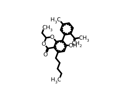 C=C(C)c1ccc(C)cc1-c1c(O)cc(CCCCC)c2c1OC(CC)OC2=O